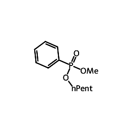 CCCCCOP(=O)(OC)c1ccccc1